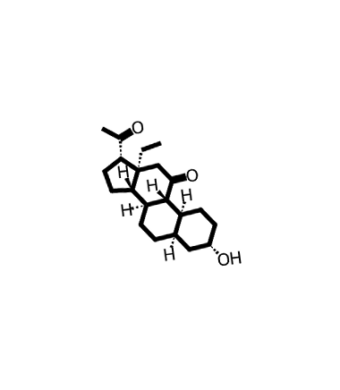 CC[C@]12CC(=O)[C@H]3[C@@H](CC[C@@H]4C[C@@H](O)CC[C@@H]43)[C@@H]1CC[C@@H]2C(C)=O